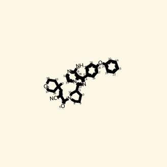 CC1(C=C(C#N)C(=O)N2CCCC(c3nc(-c4ccc(Oc5ccccc5)cc4)c4c(N)nccn34)C2)CCOCC1